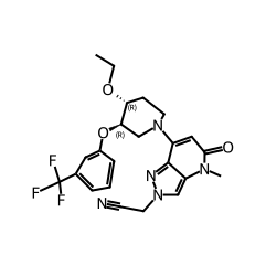 CCO[C@@H]1CCN(c2cc(=O)n(C)c3cn(CC#N)nc23)C[C@H]1Oc1cccc(C(F)(F)F)c1